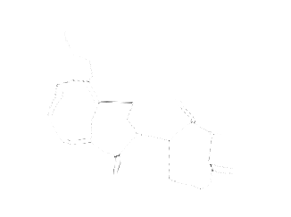 O=C1CCC(N2Cc3c(CI)cccc3C2=O)C(=O)N1